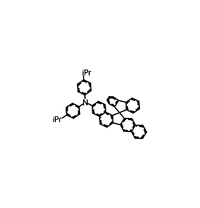 CC(C)c1ccc(N(c2ccc(C(C)C)cc2)c2ccc3c4c(ccc3c2)-c2cc3ccccc3cc2C42c3ccccc3-c3ccccc32)cc1